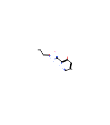 O=C(O)CCc1nc(-c2ncc(C(=O)O)cc2O)no1